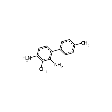 Cc1ccc(-c2ccc(N)c(C)c2N)cc1